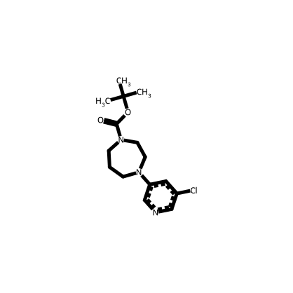 CC(C)(C)OC(=O)N1CCCN(c2cncc(Cl)c2)CC1